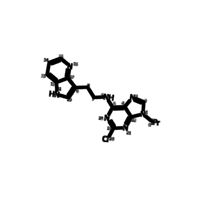 CC(C)n1cnc2c(NCCc3c[nH]c4cccnc34)nc(Cl)nc21